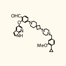 COc1cc(CN2CCN(C3CC4(CCN(c5ccc(C=O)c(Oc6cnc7[nH]ccc7c6)c5)CC4)C3)CC2)ccc1C1CC1